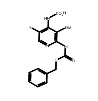 CC(C)(C)c1c(NC(=O)OCc2ccccc2)ncc(F)c1NC(=O)O